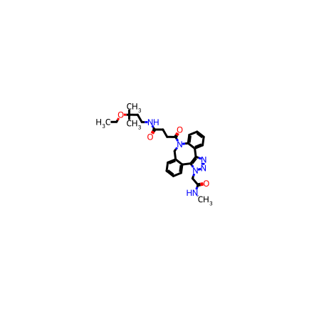 CCOC(C)(C)CCNC(=O)CCC(=O)N1Cc2ccccc2-c2c(nnn2CC(=O)NC)-c2ccccc21